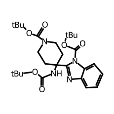 CC(C)(C)OC(=O)NC1(c2nc3ccccc3n2C(=O)OC(C)(C)C)CCN(C(=O)OC(C)(C)C)CC1